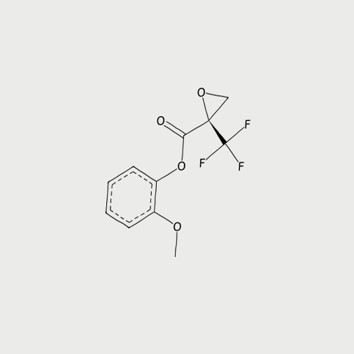 COc1ccccc1OC(=O)[C@@]1(C(F)(F)F)CO1